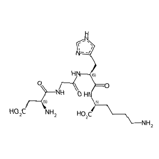 NCCCC[C@H](NC(=O)[C@H](Cc1c[nH]cn1)NC(=O)CNC(=O)[C@@H](N)CC(=O)O)C(=O)O